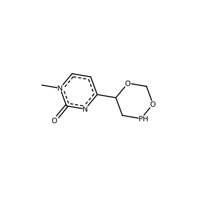 Cn1ccc(C2CPOCO2)nc1=O